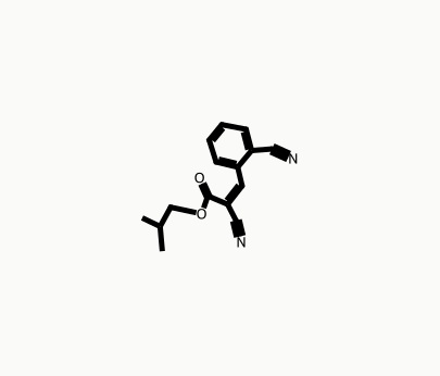 CC(C)COC(=O)C(C#N)=Cc1ccccc1C#N